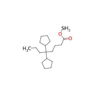 CCCC(CCCC(=O)O[SiH3])(C1CCCC1)C1CCCC1